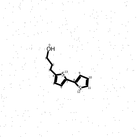 OCCCc1ccc(-c2cccs2)s1